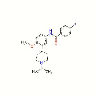 COc1ccc(NC(=O)c2ccc(I)cc2)cc1C1CCN(C(C)C)CC1